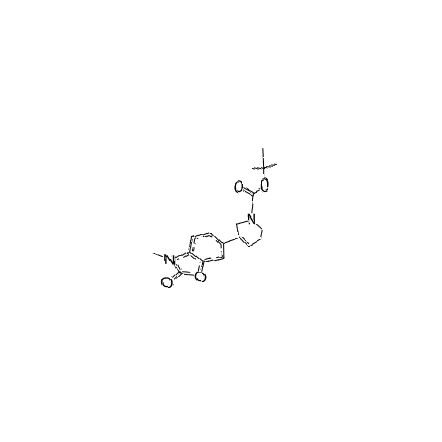 Cn1c(=O)oc2cc(C3=CCCN(C(=O)OC(C)(C)C)C3)ccc21